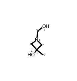 CC1(O)CN(CO)C1